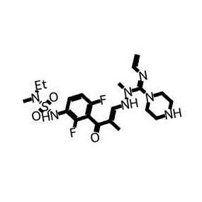 C=C/N=C(/N1CCNCC1)N(C)N/C=C(\C)C(=O)c1c(F)ccc(NS(=O)(=O)N(C)CC)c1F